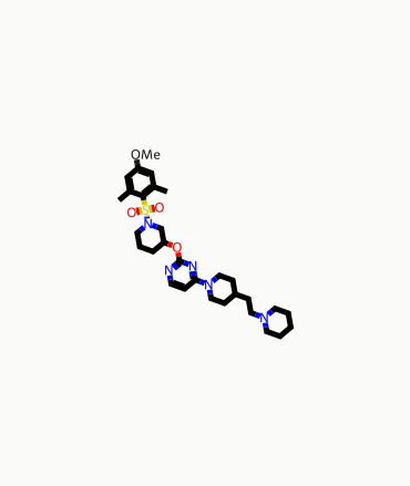 COc1cc(C)c(S(=O)(=O)N2CCCC(Oc3nccc(N4CCC(CCN5CCCCC5)CC4)n3)C2)c(C)c1